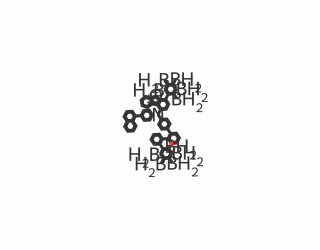 Bc1c(B)c(B)c(-c2ccccc2-c2ccccc2-c2ccc(N(c3ccc(-c4cccc5ccccc45)cc3)c3ccc(-c4c(B)c(B)c(B)c(B)c4B)c4oc5ccccc5c34)cc2)c(B)c1B